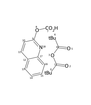 CC(C)(C)C(=O)OC(=O)C(C)(C)C.O=C(O)Oc1ccc2ccccc2n1